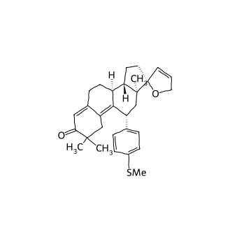 CSc1ccc([C@H]2C[C@@]3(C)[C@@H](CC[C@@]34C=CCO4)[C@@H]3CCC4=CC(=O)C(C)(C)CC4=C32)cc1